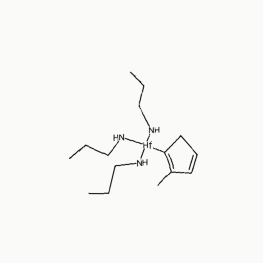 CCC[NH][Hf]([NH]CCC)([NH]CCC)[C]1=C(C)C=CC1